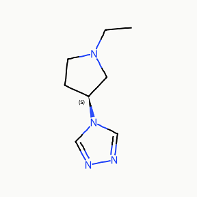 CCN1CC[C@H](n2cnnc2)C1